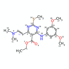 CCOC(=O)c1c(/C=C/N(C)C)nc(SC)nc1Nc1cc(OC)cc(OC)c1